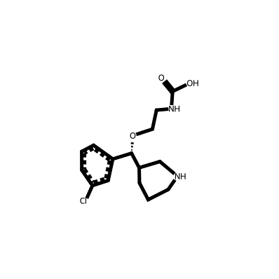 O=C(O)NCCO[C@@H](c1cccc(Cl)c1)C1CCCNC1